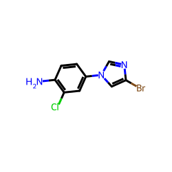 Nc1ccc(-n2cnc(Br)c2)cc1Cl